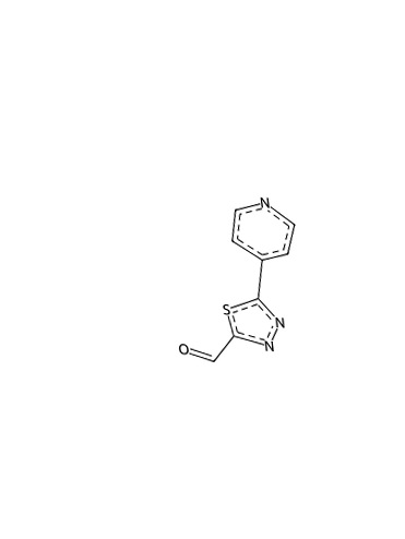 O=Cc1nnc(-c2ccncc2)s1